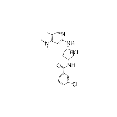 Cc1cnc(N[C@H]2CC[C@@H](NC(=O)c3cccc(Cl)c3)CC2)cc1N(C)C.Cl